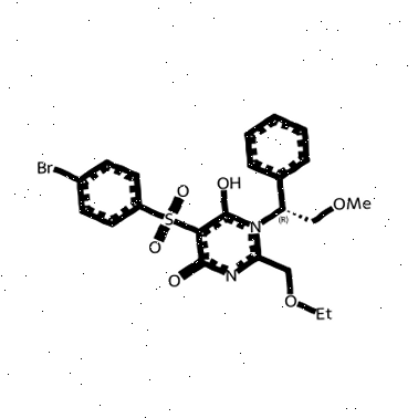 CCOCc1nc(=O)c(S(=O)(=O)c2ccc(Br)cc2)c(O)n1[C@@H](COC)c1ccccc1